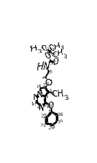 Cc1c(OCCNC(=O)OC(C)(C)C)cn2ncnc(Oc3ccccc3)c12